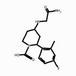 Cc1cc(F)ccc1C1CC(NCC(N)=O)CCN1C(=O)O